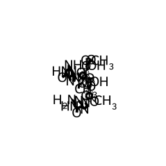 CCO[C@@H]1[C@H](OP(=O)(O)OC[C@@H]2C[C@@H](OC)[C@H](n3cnc4c(=O)[nH]c(N)nc43)O2)[C@@H](COP(=O)(O)OC)O[C@H]1n1cnc2c(=O)[nH]c(N)nc21